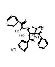 Cl.O=C(c1ccccc1)C(O)[C@H]1O[C@@H](O)[C@@](O)(C(=O)c2ccccc2)[C@@]1(O)C(=O)c1ccccc1